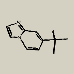 CC(C)(C)c1ccn2ccnc2c1